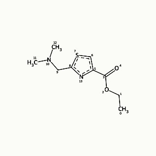 CCOC(=O)c1csc(CN(C)C)n1